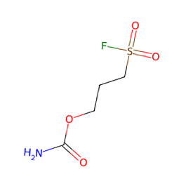 NC(=O)OCCCS(=O)(=O)F